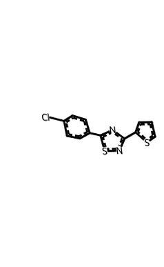 Clc1ccc(-c2nc(-c3cccs3)ns2)cc1